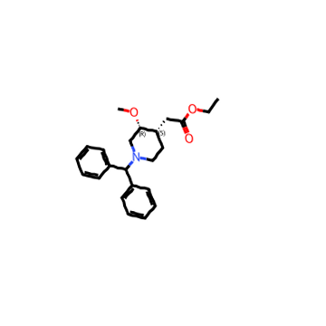 CCOC(=O)C[C@@H]1CCN(C(c2ccccc2)c2ccccc2)C[C@@H]1OC